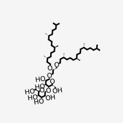 CC(C)CCC[C@@H](C)CCC[C@@H](C)CCC[C@@H](C)CCOC[C@H](CO[C@@H]1O[C@H](CO)[C@@H](O[C@H]2O[C@H](CO)[C@@H](O)[C@H](O)[C@H]2O)[C@H](O)[C@H]1O)OCC[C@H](C)CCC[C@H](C)CCC[C@H](C)CCCC(C)C